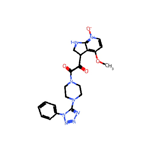 COc1cc[n+]([O-])c2c1C(C(=O)C(=O)N1CCN(c3nnnn3-c3ccccc3)CC1)CN2